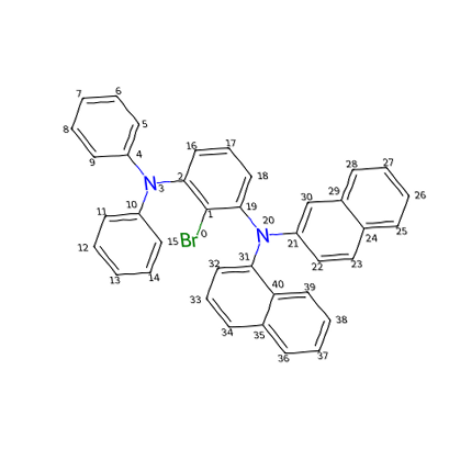 Brc1c(N(c2ccccc2)c2ccccc2)cccc1N(c1ccc2ccccc2c1)c1cccc2ccccc12